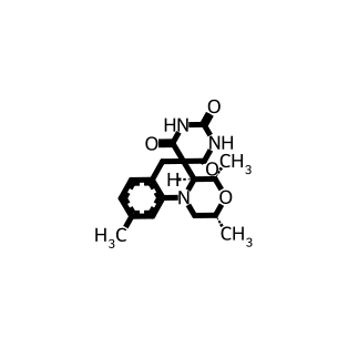 Cc1ccc2c(c1)N1C[C@@H](C)O[C@@H](C)[C@@H]1C1(C2)C(=O)NC(=O)NC1=O